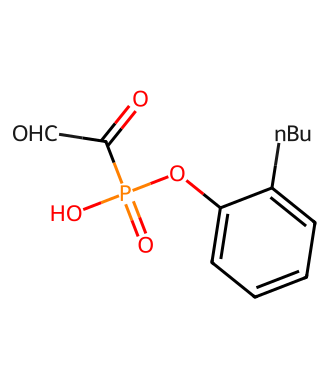 CCCCc1ccccc1OP(=O)(O)C(=O)C=O